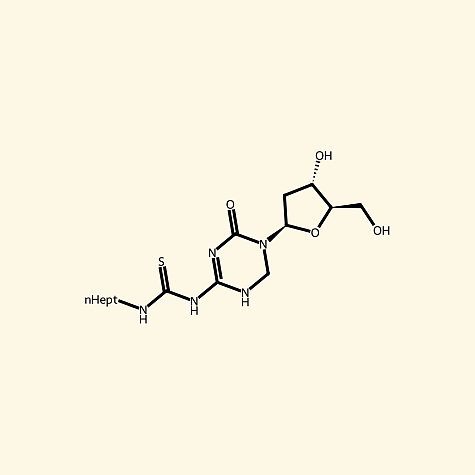 CCCCCCCNC(=S)NC1=NC(=O)N([C@H]2C[C@H](O)[C@@H](CO)O2)CN1